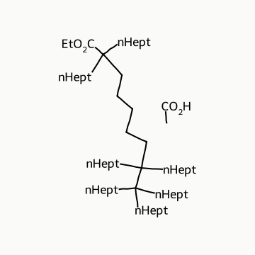 CC(=O)O.CCCCCCCC(CCCCCCC)(CCCCCC(CCCCCCC)(CCCCCCC)C(CCCCCCC)(CCCCCCC)CCCCCCC)C(=O)OCC